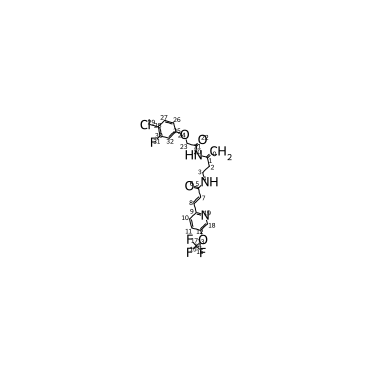 C=C(CCNC(=O)/C=C/c1ccc(OC(F)(F)F)cn1)NC(=O)COc1ccc(Cl)c(F)c1